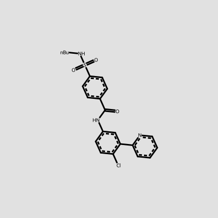 CCCCNS(=O)(=O)c1ccc(C(=O)Nc2ccc(Cl)c(-c3ccccn3)c2)cc1